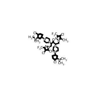 Cc1c(Cl)c(C(F)(F)F)nn1CC(C(=O)C(Cn1nc(C(F)(F)F)c(Cl)c1C)N1CCN(c2ccc(Cl)c(N(C)C)c2)CC1)N1CCN(c2ccc(Cl)c(N(C)C)c2)CC1